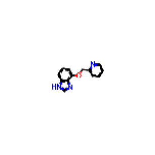 [c]1nc2c(OCc3ccccn3)cccc2[nH]1